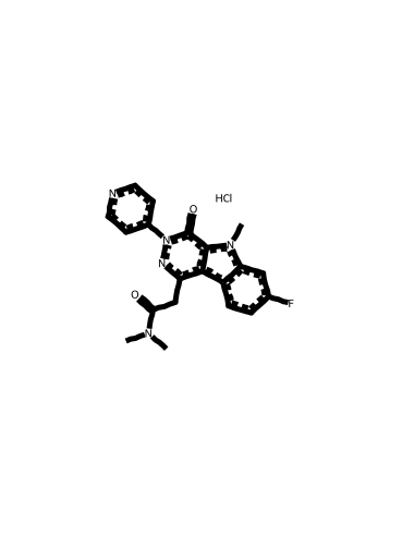 CN(C)C(=O)Cc1nn(-c2ccncc2)c(=O)c2c1c1ccc(F)cc1n2C.Cl